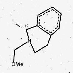 COCN1CCc2ccccc2[C@H]1C